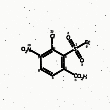 CCS(=O)(=O)c1c(C(=O)O)ccc([N+](=O)[O-])c1Cl